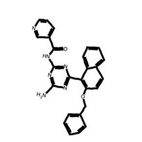 Nc1nc(NC(=O)c2cccnc2)nc(-c2c(OCc3ccccc3)ccc3ccccc23)n1